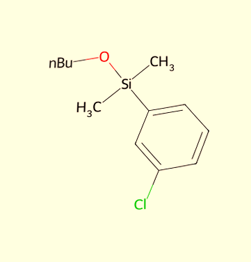 CCCCO[Si](C)(C)c1cccc(Cl)c1